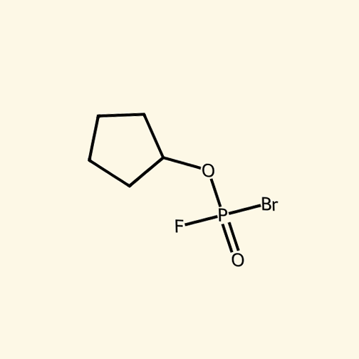 O=P(F)(Br)OC1CCCC1